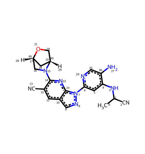 CC(C#N)Nc1cc(-n2ncc3cc(C#N)c(N4C[C@H]5C[C@@H]4CO5)nc32)ncc1N